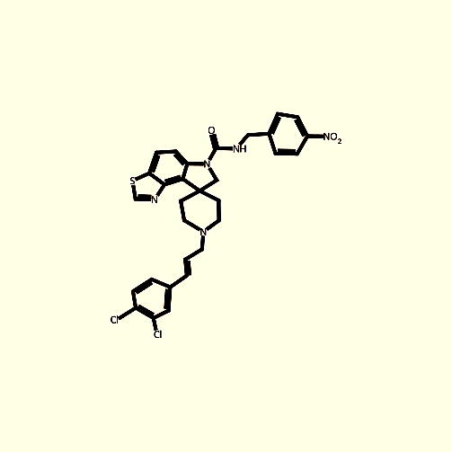 O=C(NCc1ccc([N+](=O)[O-])cc1)N1CC2(CCN(CC=Cc3ccc(Cl)c(Cl)c3)CC2)c2c1ccc1scnc21